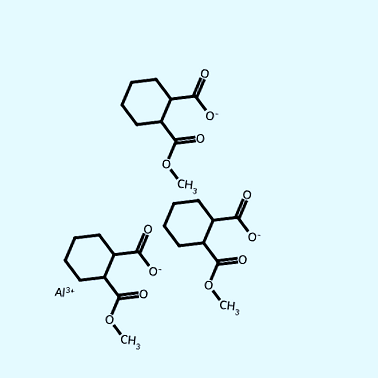 COC(=O)C1CCCCC1C(=O)[O-].COC(=O)C1CCCCC1C(=O)[O-].COC(=O)C1CCCCC1C(=O)[O-].[Al+3]